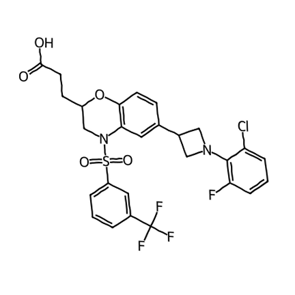 O=C(O)CCC1CN(S(=O)(=O)c2cccc(C(F)(F)F)c2)c2cc(C3CN(c4c(F)cccc4Cl)C3)ccc2O1